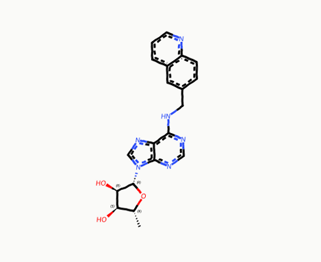 C[C@H]1O[C@@H](n2cnc3c(NCc4ccc5ncccc5c4)ncnc32)[C@H](O)[C@@H]1O